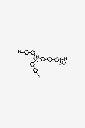 CC1(c2ccc(-c3ccc(-c4ccc(-c5nc(-c6cccc(-c7ccc(C#N)cc7)c6)nc(-c6cccc(-c7ccc(C#N)cc7)c6)n5)cc4)cc3)cc2)C[C@@H]2CC[C@@H](C2)C1